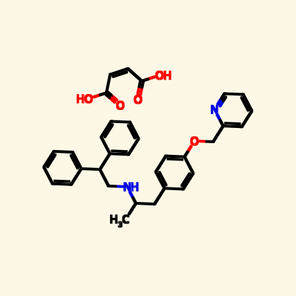 CC(Cc1ccc(OCc2ccccn2)cc1)NCC(c1ccccc1)c1ccccc1.O=C(O)/C=C\C(=O)O